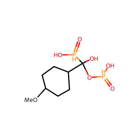 COC1CCC(C(O)(O[PH](=O)O)[PH](=O)O)CC1